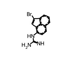 N=C(N)Nc1ccc2cccc3c2c1C=C3Br